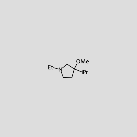 CCN1CCC(OC)(C(C)C)C1